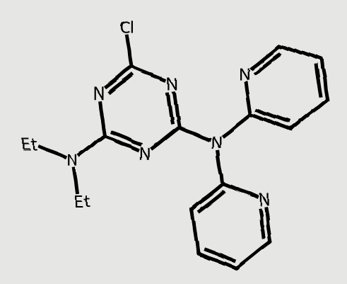 CCN(CC)c1nc(Cl)nc(N(c2ccccn2)c2ccccn2)n1